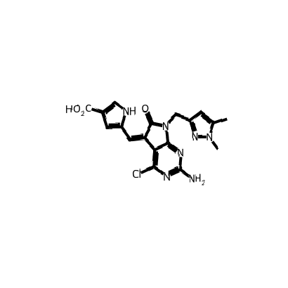 Cc1cc(CN2C(=O)/C(=C\c3cc(C(=O)O)c[nH]3)c3c(Cl)nc(N)nc32)nn1C